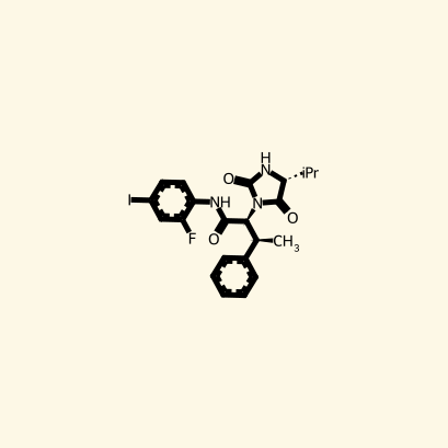 CC(C)[C@H]1NC(=O)N([C@H](C(=O)Nc2ccc(I)cc2F)[C@@H](C)c2ccccc2)C1=O